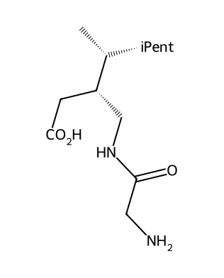 CCC[C@@H](C)[C@@H](C)[C@H](CNC(=O)CN)CC(=O)O